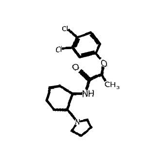 CC(Oc1ccc(Cl)c(Cl)c1)C(=O)NC1CCCCC1N1CCCC1